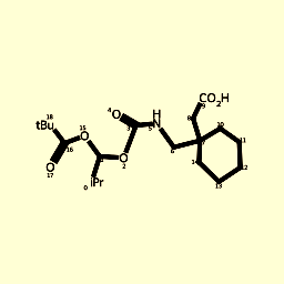 CC(C)C(OC(=O)NCC1(CC(=O)O)CCCCC1)OC(=O)C(C)(C)C